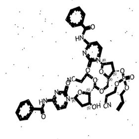 C=CCOP(=O)(OCCC#N)O[C@H]1C[C@H](n2ccc(NC(=O)c3ccccc3)nc2=O)O[C@@H]1COC(OCCC#N)[C@H]1O[C@@H](n2ccc(NC(=O)c3ccccc3)nc2=O)C[C@@H]1O